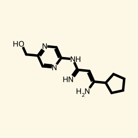 N=C(/C=C(\N)C1CCCC1)Nc1cnc(CO)cn1